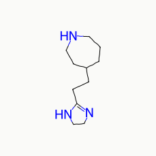 C1CNCCC(CCC2=NCCN2)C1